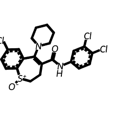 O=C(Nc1ccc(Cl)c(Cl)c1)C1=C(N2CCCCC2)c2cc(Cl)ccc2[S+]([O-])CC1